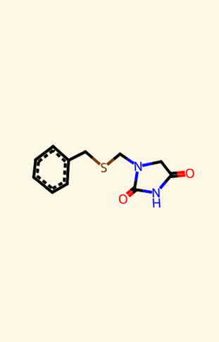 O=C1CN(CSCc2ccccc2)C(=O)N1